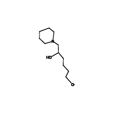 [O]CCCCC(O)CN1CCCCC1